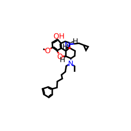 CCN(CCCCCCc1ccccc1)[C@H]1CC[C@H]2[C@H]3Cc4c(O)cc(OC)c5c4[C@@]2(CCN3CC2CC2)[C@H]1O5